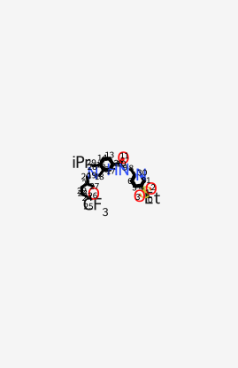 CCS(=O)(=O)c1ccc(CNC(=O)c2ccc3c(c2)CN(CC2CCC(C(F)(F)F)OC2)C3C(C)C)nc1